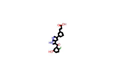 O=C(O)/C=C/c1cccc(-c2cnc3[nH]cc(C(=O)c4cc(O)ccc4F)c3c2)c1